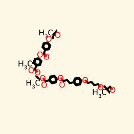 Cc1cc(OC(=O)c2ccc(OCC3(C)CO3)cc2)ccc1C(=O)OCC(C)OC(=O)c1ccc(OC(=O)CCc2ccc(OCCCCOCC3(C)COC3)cc2)cc1